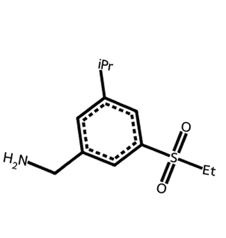 CCS(=O)(=O)c1cc(CN)cc(C(C)C)c1